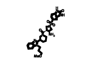 COCCCn1c(C2CCCN(C(=O)[C@@H]3CN(S(=O)(=O)c4ccc5[nH]c(=O)[nH]c5c4)C[C@H]3N)C2)nc2ccccc21